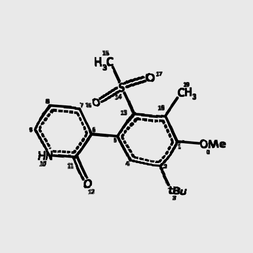 COc1c(C(C)(C)C)cc(-c2ccc[nH]c2=O)c(S(C)(=O)=O)c1C